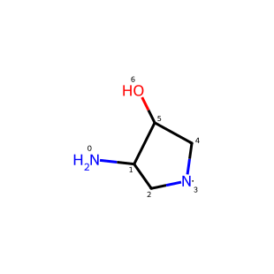 NC1C[N]CC1O